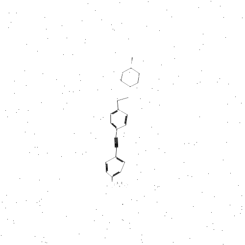 COc1ccc(C#Cc2ccc(CC[C@H]3CC[C@H](C)CC3)cc2)cc1